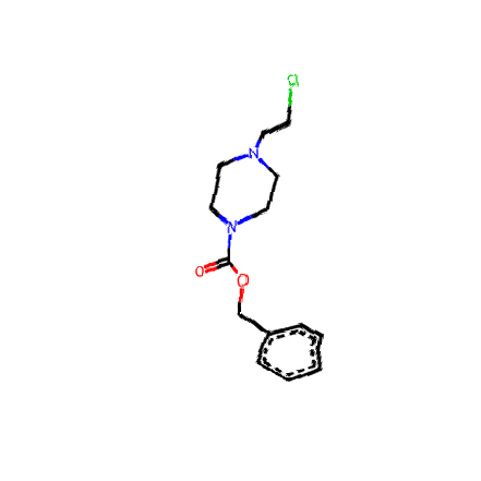 O=C(OCc1ccccc1)N1CCN(CCCl)CC1